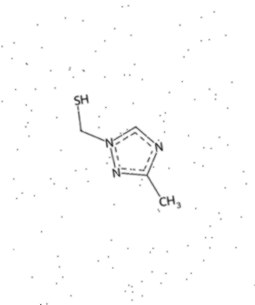 Cc1ncn(CS)n1